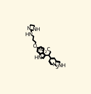 O=C(O)CC(C1=CC2=CNSN2C=C1)c1c[nH]c2cc(OCCCNC3=NCCN3)ccc12